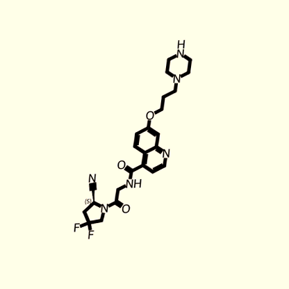 N#C[C@@H]1CC(F)(F)CN1C(=O)CNC(=O)c1ccnc2cc(OCCCN3CCNCC3)ccc12